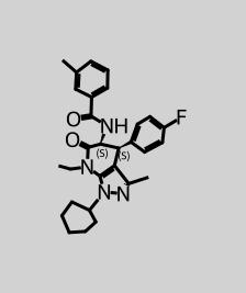 CCN1C(=O)[C@@H](NC(=O)c2cccc(C)c2)[C@@H](c2ccc(F)cc2)c2c(C)nn(C3CCCCC3)c21